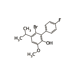 COc1cc(C(C)C)c(Br)c(-c2ccc(F)cc2)c1O